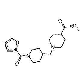 NC(=O)C1CCN(CC2CCN(C(=O)c3ccco3)CC2)CC1